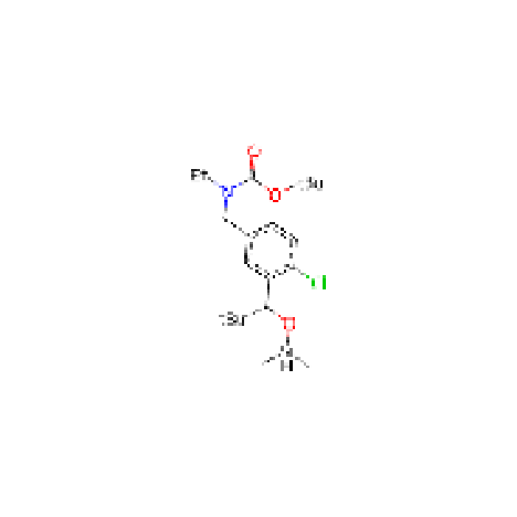 CCN(Cc1ccc(Cl)c(C(O[SiH](C)C)C(C)(C)C)c1)C(=O)OC(C)(C)C